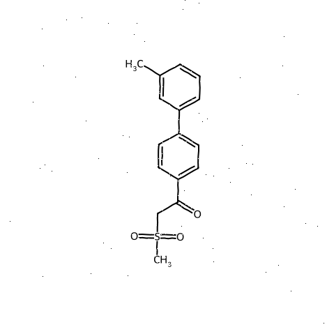 Cc1cccc(-c2ccc(C(=O)CS(C)(=O)=O)cc2)c1